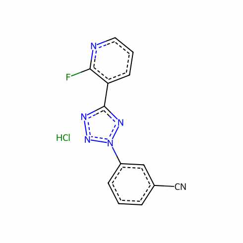 Cl.N#Cc1cccc(-n2nnc(-c3cccnc3F)n2)c1